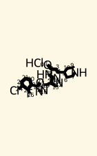 Cl.O=c1cc(C2CCNCC2)n2ncc(-c3nnc(-c4cccc(Cl)c4F)o3)c2[nH]1